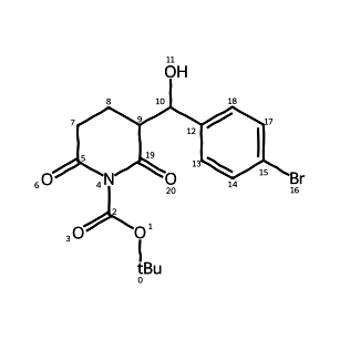 CC(C)(C)OC(=O)N1C(=O)CCC(C(O)c2ccc(Br)cc2)C1=O